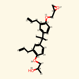 C=CCc1cc(C(C)(C)c2ccc(OCC3CO3)c(CC=C)c2)ccc1OCC(C)O